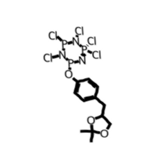 CC1(C)OCC(Cc2ccc(OP3N=P(Cl)(Cl)N(Cl)P(Cl)N3Cl)cc2)O1